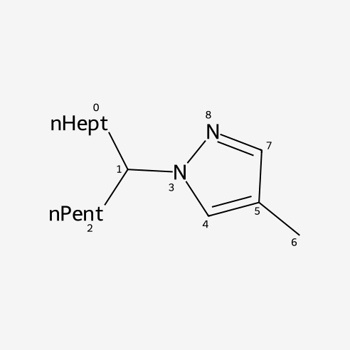 CCCCCCCC(CCCCC)n1cc(C)cn1